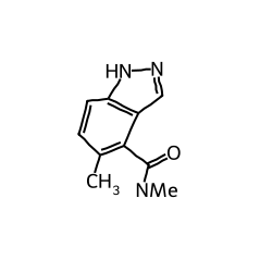 CNC(=O)c1c(C)ccc2[nH]ncc12